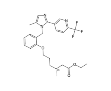 CCOC(=O)C[C@H](C)CCCOc1ccccc1Cn1c(C)cnc1-c1ccc(C(F)(F)F)nc1